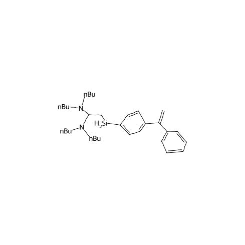 C=C(c1ccccc1)c1ccc([SiH2]CC(N(CCCC)CCCC)N(CCCC)CCCC)cc1